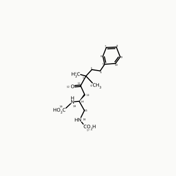 CC(C)(CCc1ccccc1)C(=O)C[C@@H](CNC(=O)O)NC(=O)O